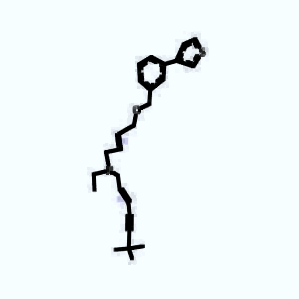 CCN(C/C=C/C#CC(C)(C)C)C/C=C/COCc1cccc(-c2ccsc2)c1